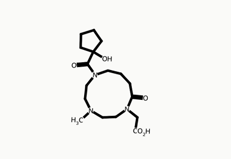 CN1CCN(CC(=O)O)C(=O)CCCN(C(=O)C2(O)CCCC2)CC1